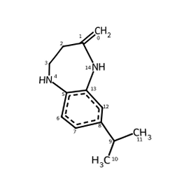 C=C1CCNc2ccc(C(C)C)cc2N1